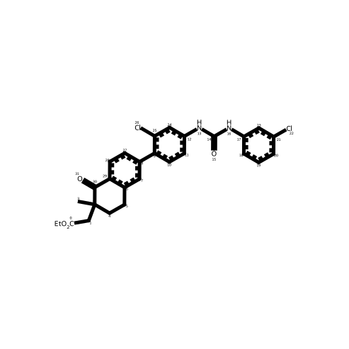 CCOC(=O)CC1(C)CCc2cc(-c3ccc(NC(=O)Nc4cccc(Cl)c4)cc3Cl)ccc2C1=O